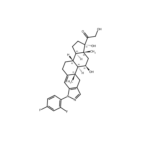 C[C@@]12Cc3cnn(-c4ccc(F)cc4F)c3C=C1CC[C@H]1[C@H]2[C@H](O)C[C@]2(C)[C@@H]1CC[C@@]2(O)C(=O)CO